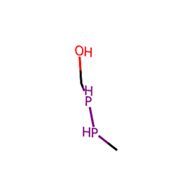 CPPCO